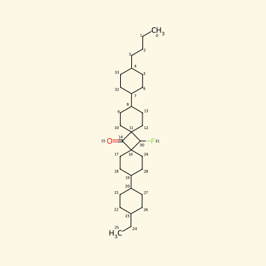 CCCCC1CCC(C2CCC3(CC2)C(=O)C2(CCC(C4CCC(CC)CC4)CC2)C3F)CC1